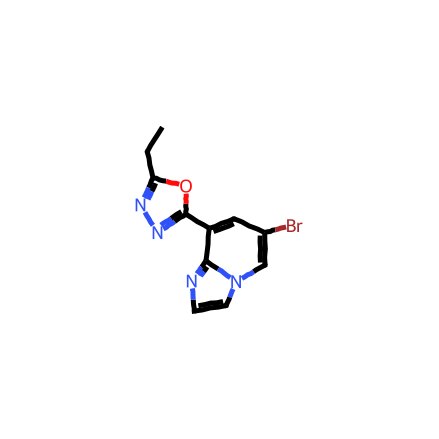 CCc1nnc(-c2cc(Br)cn3ccnc23)o1